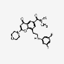 CCN(C)C(=O)c1cc(CCNc2cc(F)cc(F)c2)c2oc(N3CCOCC3)cc(=O)c2c1